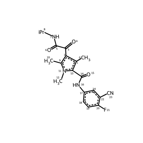 Cc1c(C(=O)C(=O)NC(C)C)c(C)n(C)c1C(=O)Nc1ccc(F)c(C#N)c1